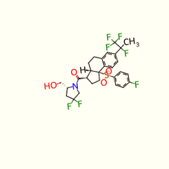 CC(F)(c1ccc2c(c1)CC[C@H]1[C@H](C(=O)N3CC(F)(F)C[C@@H]3CO)CC[C@@]21S(=O)(=O)c1ccc(F)cc1)C(F)(F)F